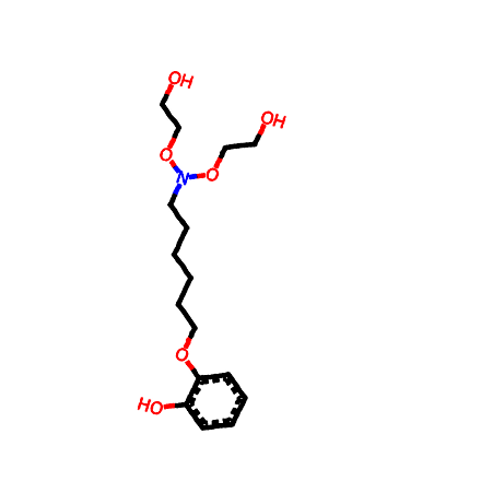 OCCON(CCCCCCOc1ccccc1O)OCCO